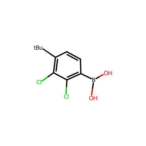 CC(C)(C)c1ccc(B(O)O)c(Cl)c1Cl